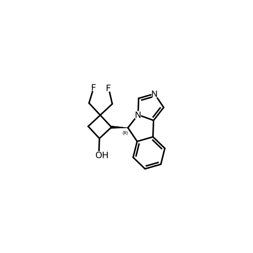 OC1CC(CF)(CF)C1[C@@H]1c2ccccc2-c2cncn21